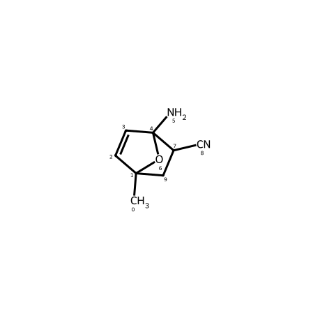 CC12C=CC(N)(O1)C(C#N)C2